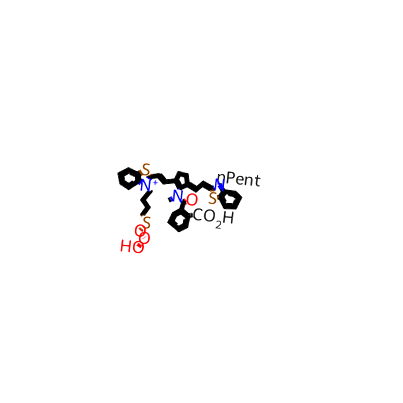 CCCCCN1/C(=C/C=C2\CCC(/C=C/c3sc4ccccc4[n+]3CCCCSOOO)=C2N(C)C(=O)c2ccccc2C(=O)O)Sc2ccccc21